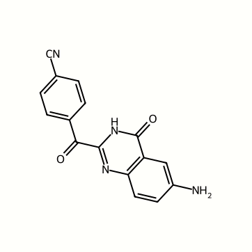 N#Cc1ccc(C(=O)c2nc3ccc(N)cc3c(=O)[nH]2)cc1